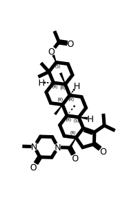 CC(=O)O[C@H]1CC[C@]2(C)[C@H]3CC[C@@H]4C5=C(C(C)C)C(=O)C[C@]5(C(=O)N5CCN(C)C(=O)C5)CC[C@@]4(C)[C@]3(C)CC[C@H]2C1(C)C